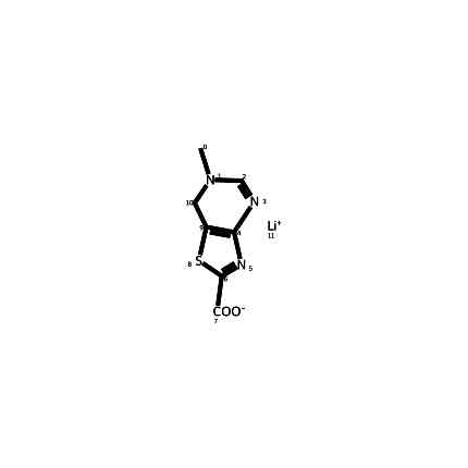 CN1C=Nc2nc(C(=O)[O-])sc2C1.[Li+]